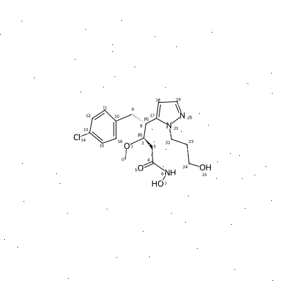 CO[C@H](CC(=O)NO)[C@H](Cc1ccc(Cl)cc1)c1ccnn1CCCO